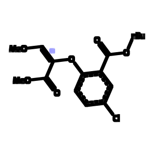 CCCCOC(=O)c1cc(Cl)ccc1O/C(=C/OC)C(=O)OC